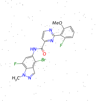 COc1cccc(F)c1-c1nccc(C(=O)Nc2cc(F)c3c(cnn3C)c2Br)n1